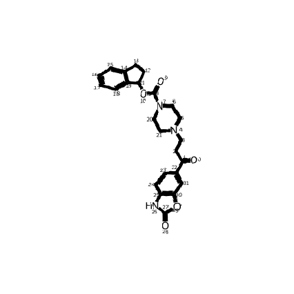 O=C(CCN1CCN(C(=O)OC2CCc3ccccc32)CC1)c1ccc2[nH]c(=O)oc2c1